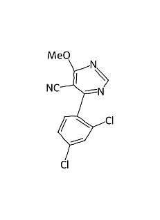 COc1ncnc(-c2ccc(Cl)cc2Cl)c1C#N